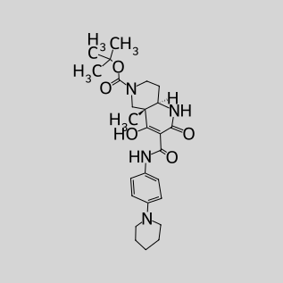 CC(C)(C)OC(=O)N1CC[C@H]2NC(=O)C(C(=O)Nc3ccc(N4CCCCC4)cc3)=C(O)[C@]2(C)C1